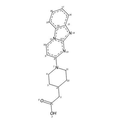 O=C(O)CC1CCN(c2ccn3c(n2)nc2ccccc23)CC1